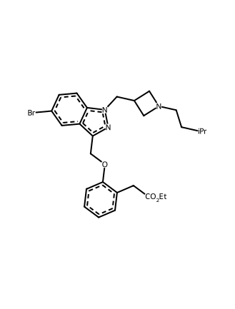 CCOC(=O)Cc1ccccc1OCc1nn(CC2CN(CCC(C)C)C2)c2ccc(Br)cc12